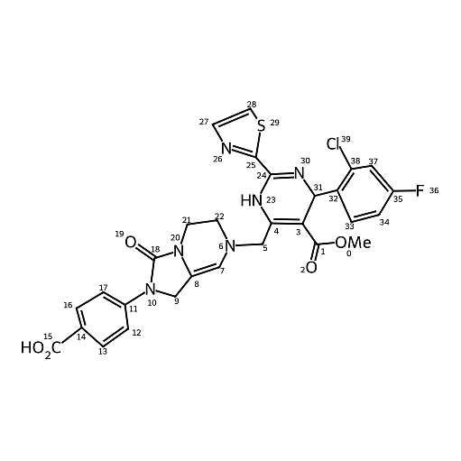 COC(=O)C1=C(CN2C=C3CN(c4ccc(C(=O)O)cc4)C(=O)N3CC2)NC(c2nccs2)=NC1c1ccc(F)cc1Cl